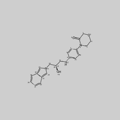 O=C1COCCN1c1ccc(NC[C@@H](O)Cn2cc3ccccc3c2)cc1